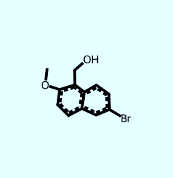 COc1ccc2cc(Br)ccc2c1CO